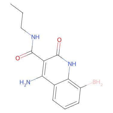 Bc1cccc2c(N)c(C(=O)NCCC)c(=O)[nH]c12